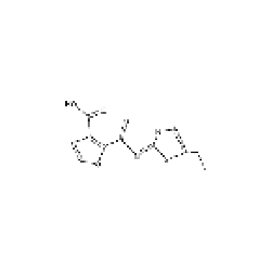 CCC1=N[N]C(=NC(=O)c2occc2C(=O)O)S1